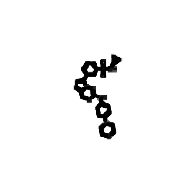 O=S(=O)(NC1CC1)c1cccc(-c2ccc3cnc(Nc4ccc(N5CCOCC5)cc4)nn23)c1